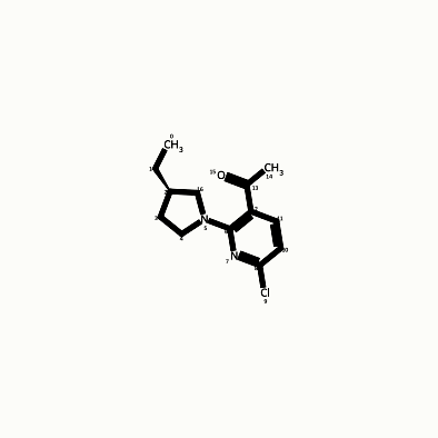 CC[C@@H]1CCN(c2nc(Cl)ccc2C(C)=O)C1